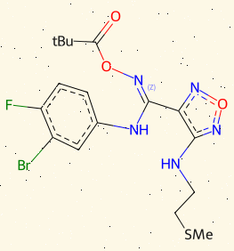 CSCCNc1nonc1/C(=N/OC(=O)C(C)(C)C)Nc1ccc(F)c(Br)c1